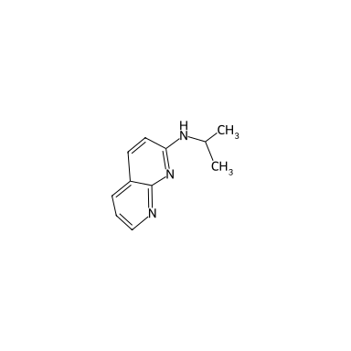 CC(C)Nc1ccc2cccnc2n1